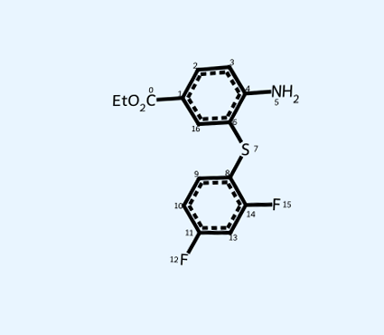 CCOC(=O)c1ccc(N)c(Sc2ccc(F)cc2F)c1